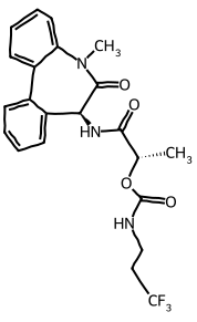 C[C@H](OC(=O)NCCC(F)(F)F)C(=O)N[C@@H]1C(=O)N(C)c2ccccc2-c2ccccc21